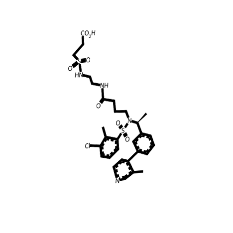 Cc1cnccc1-c1cccc([C@H](C)N(CCCC(=O)NCCNS(=O)(=O)CCC(=O)O)S(=O)(=O)c2cccc(Cl)c2C)c1